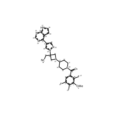 COc1c(F)c(F)cc(C(=O)N2CCC(N3CC(CC#N)(n4cc(-c5ncnc6[nH]ccc56)cn4)C3)CC2)c1F